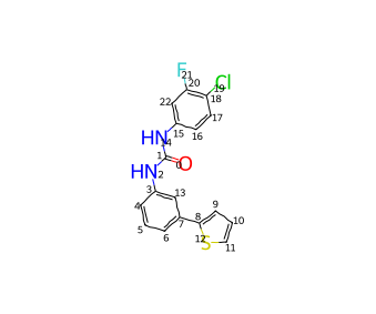 O=C(Nc1cccc(-c2cccs2)c1)Nc1ccc(Cl)c(F)c1